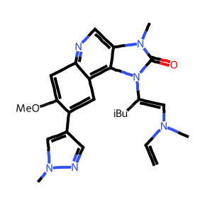 C=CN(C)/C=C(\C(C)CC)n1c(=O)n(C)c2cnc3cc(OC)c(-c4cnn(C)c4)cc3c21